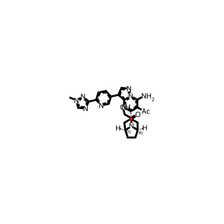 CC(=O)c1c([C@@H]2C[C@H]3CC[C@@H](C2)N3C(=O)CO)nc2c(-c3ccc(-c4ncn(C)n4)nc3)cnn2c1N